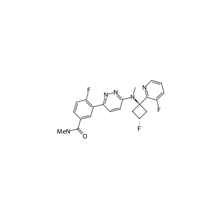 CNC(=O)c1ccc(F)c(-c2ccc(N(C)[C@]3(c4ncccc4F)C[C@@H](F)C3)nn2)c1